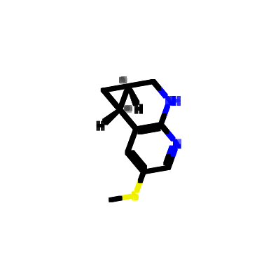 CSc1cnc2c(c1)[C@@H]1C[C@@H]1CN2